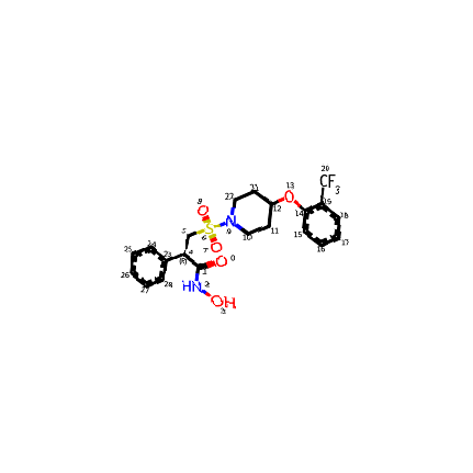 O=C(NO)[C@H](CS(=O)(=O)N1CCC(Oc2ccccc2C(F)(F)F)CC1)c1ccccc1